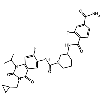 CC(C)n1c(=O)n(CC2CC2)c(=O)c2cc(NC(=O)N3CCCC(NC(=O)c4ccc(C(N)=O)cc4F)C3)c(F)cc21